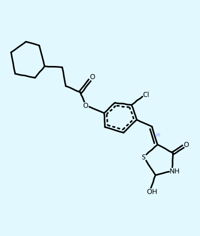 O=C(CCC1CCCCC1)Oc1ccc(/C=C2\SC(O)NC2=O)c(Cl)c1